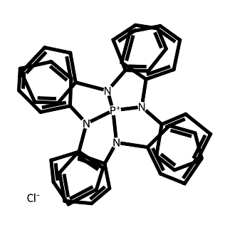 [Cl-].c1ccc(N(c2ccccc2)[P+](N(c2ccccc2)c2ccccc2)(N(c2ccccc2)c2ccccc2)N(c2ccccc2)c2ccccc2)cc1